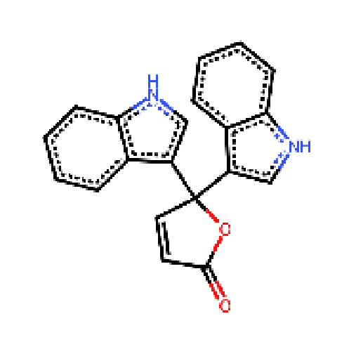 O=C1C=CC(c2c[nH]c3ccccc23)(c2c[nH]c3ccccc23)O1